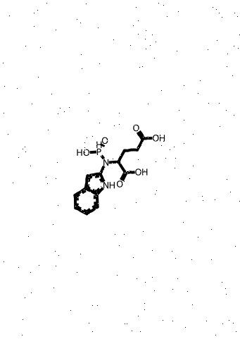 O=C(O)CCC(C(=O)O)N(c1cc2ccccc2[nH]1)[PH](=O)O